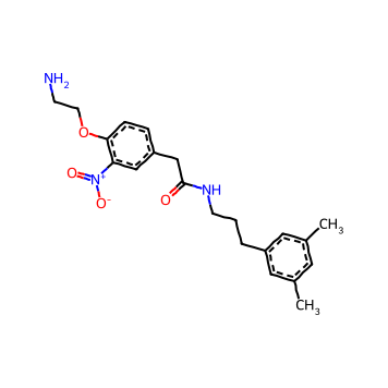 Cc1cc(C)cc(CCCNC(=O)Cc2ccc(OCCN)c([N+](=O)[O-])c2)c1